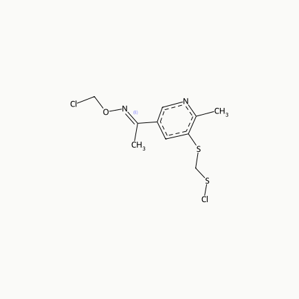 C/C(=N\OCCl)c1cnc(C)c(SCSCl)c1